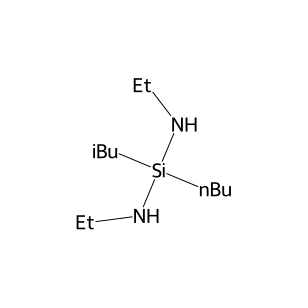 CCCC[Si](NCC)(NCC)C(C)CC